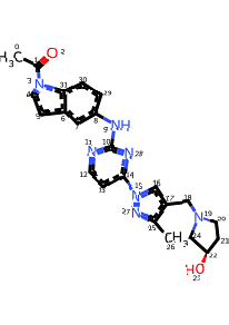 CC(=O)n1ccc2cc(Nc3nccc(-n4cc(CN5CC[C@@H](O)C5)c(C)n4)n3)ccc21